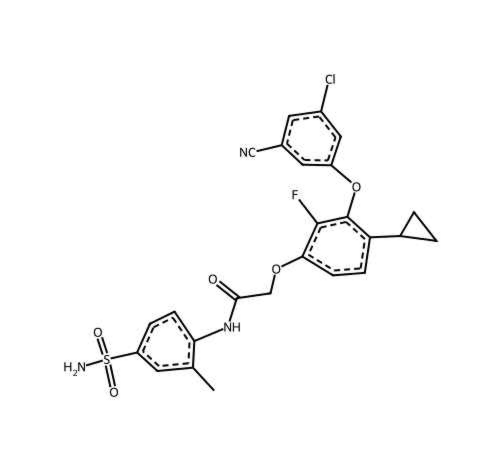 Cc1cc(S(N)(=O)=O)ccc1NC(=O)COc1ccc(C2CC2)c(Oc2cc(Cl)cc(C#N)c2)c1F